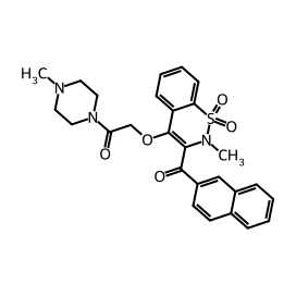 CN1CCN(C(=O)COC2=C(C(=O)c3ccc4ccccc4c3)N(C)S(=O)(=O)c3ccccc32)CC1